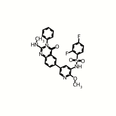 CNc1nc2ccc(-c3cnc(OC)c(NS(=O)(=O)c4ccc(F)cc4F)c3)cc2c(=O)n1-c1ccccc1